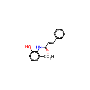 O=C(C=Cc1ccccc1)Nc1c(O)cccc1C(=O)O